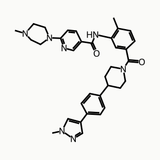 Cc1ccc(C(=O)N2CCC(c3ccc(-c4cnn(C)c4)cc3)CC2)cc1NC(=O)c1ccc(N2CCN(C)CC2)nc1